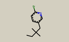 CCC(C)(C)Cc1ccc(Br)nc1